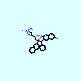 COc1nc2ccc(Br)cc2cc1C(c1ccccc1)C(O)(CCCC[N+](C)(C)C)c1ccc2ccccc2c1